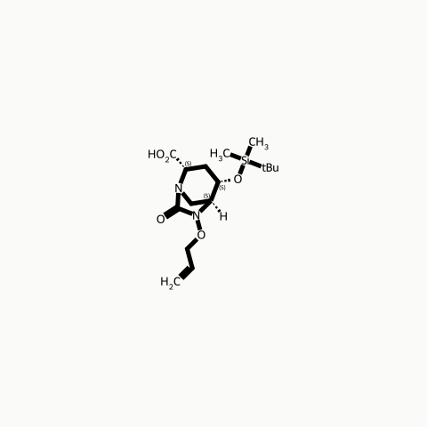 C=CCON1C(=O)N2C[C@H]1[C@@H](O[Si](C)(C)C(C)(C)C)C[C@H]2C(=O)O